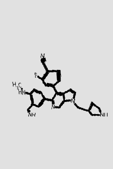 CNc1ccc(-c2ncc3c(ccn3CC3CCNC3)c2-c2ccc(C#N)c(F)c2)cc1C=N